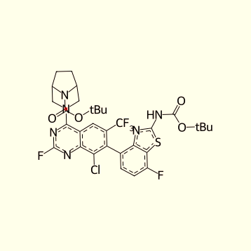 CC(C)(C)OC(=O)Nc1nc2c(-c3c(C(F)(F)F)cc4c(N5CC6CCC(C5)N6C(=O)OC(C)(C)C)nc(F)nc4c3Cl)ccc(F)c2s1